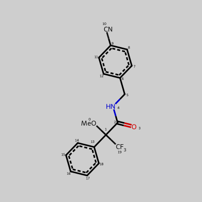 COC(C(=O)NCc1ccc(C#N)cc1)(c1ccccc1)C(F)(F)F